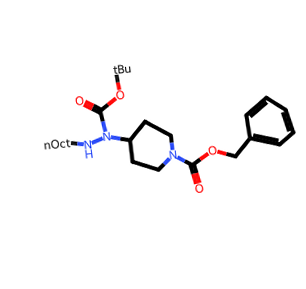 CCCCCCCCNN(C(=O)OC(C)(C)C)C1CCN(C(=O)OCc2ccccc2)CC1